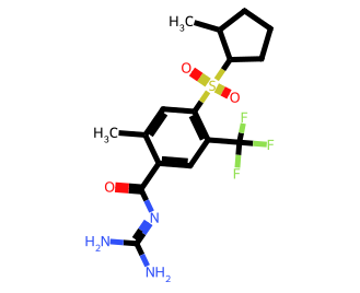 Cc1cc(S(=O)(=O)C2CCCC2C)c(C(F)(F)F)cc1C(=O)N=C(N)N